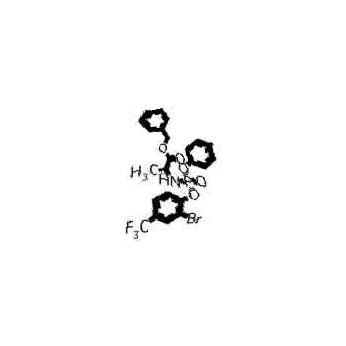 C[C@H](NP(=O)(Oc1ccccc1)Oc1ccc(C(F)(F)F)cc1Br)C(=O)OCc1ccccc1